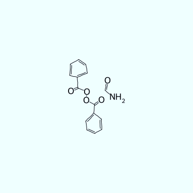 NC=O.O=C(OOC(=O)c1ccccc1)c1ccccc1